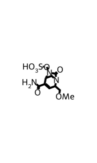 COCC1C=C(C(N)=O)C2CN1C(=O)N2OS(=O)(=O)O